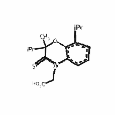 CC(C)c1cccc2c1OC(C)(C(C)C)C(=S)N2CC(=O)O